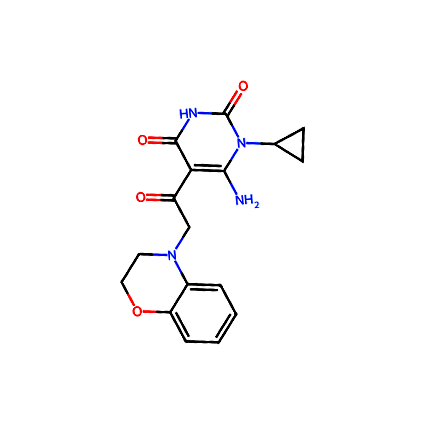 Nc1c(C(=O)CN2CCOc3ccccc32)c(=O)[nH]c(=O)n1C1CC1